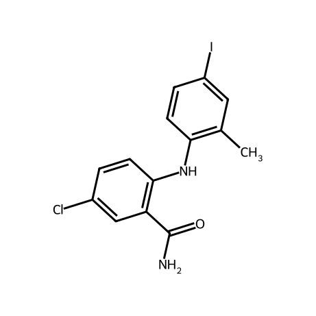 Cc1cc(I)ccc1Nc1ccc(Cl)cc1C(N)=O